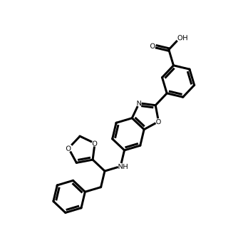 O=C(O)c1cccc(-c2nc3ccc(NC(Cc4ccccc4)C4=COCO4)cc3o2)c1